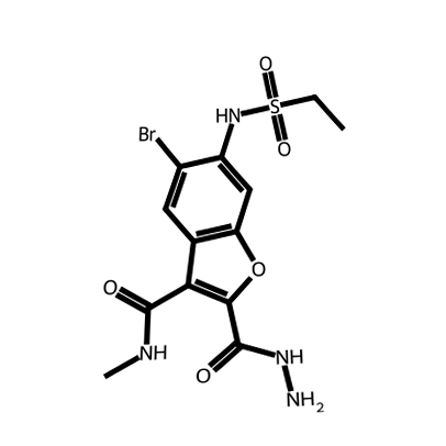 CCS(=O)(=O)Nc1cc2oc(C(=O)NN)c(C(=O)NC)c2cc1Br